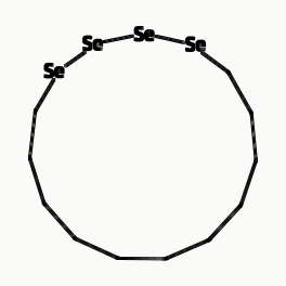 C1CCCCC[Se][Se][Se][Se]CCCCC1